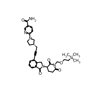 C[Si](C)(C)CCOCN1C(=O)CCC(N2Cc3c(C#CC[C@H]4CCN(c5ccc(C(N)=O)cn5)C4)cccc3C2=O)C1=O